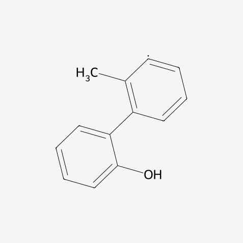 Cc1[c]cccc1-c1ccccc1O